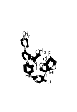 C=CC(=O)Nc1cc(Nc2ncc(Cl)c(O[C@@H]3CO[C@H]4[C@@H]3OC[C@@H]4F)n2)ccc1N1CCC(N2CCN(C)CC2)CC1